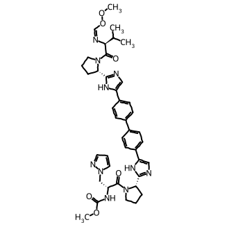 COO/C=N\[C@H](C(=O)N1CCC[C@H]1c1ncc(-c2ccc(-c3ccc(-c4cnc([C@@H]5CCCN5C(=O)[C@@H](Cn5cccn5)NC(=O)OC)[nH]4)cc3)cc2)[nH]1)C(C)C